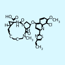 C=Cc1csc(-c2cc(O[C@H]3C[C@H]4C(=O)N(C)CCCC/C=C\[C@@H]5C[C@@]5(C(=O)O)NC(=O)N4C3)c3ccc(OC)c(Cl)c3n2)n1